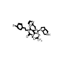 Cn1c2c(c(=O)n(CCc3ccc(F)cc3)c1=O)N(Cc1ncco1)C(N1CCC3CNCC31)N2OC(=O)C(F)(F)F